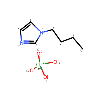 CCCCn1ccnc1.[O-][Cl+3]([O-])([O-])O